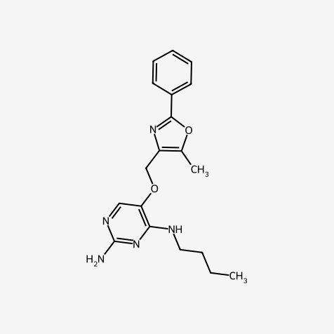 CCCCNc1nc(N)ncc1OCc1nc(-c2ccccc2)oc1C